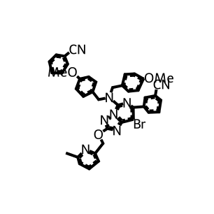 COc1ccc(CN(Cc2ccc(OC)cc2)c2nc(-c3cccc(C#N)c3)c(Br)c3nc(OCc4cccc(C)n4)nn23)cc1.N#Cc1ccccc1